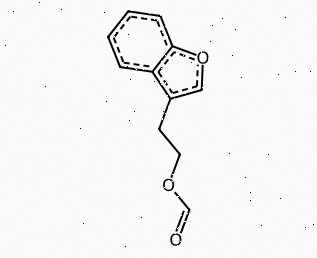 O=COCCc1coc2ccccc12